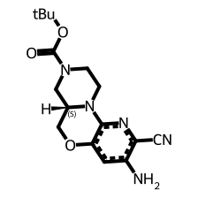 CC(C)(C)OC(=O)N1CCN2c3nc(C#N)c(N)cc3OC[C@@H]2C1